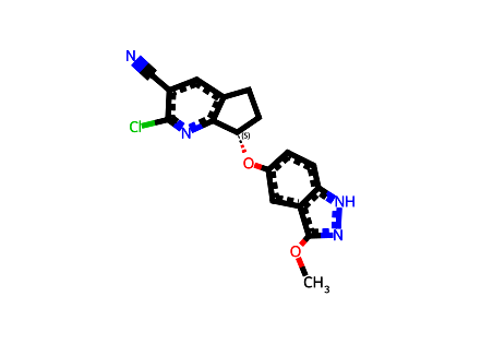 COc1n[nH]c2ccc(O[C@H]3CCc4cc(C#N)c(Cl)nc43)cc12